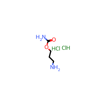 Cl.Cl.NCCCOC(N)=O